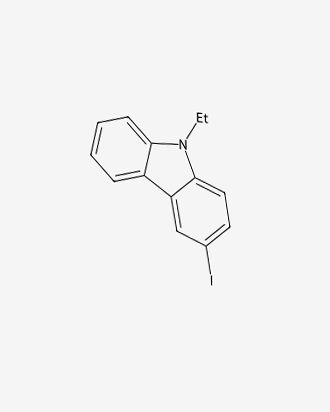 CCn1c2ccccc2c2cc(I)ccc21